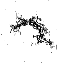 CNCCCC(NC(=O)COc1cc2oc3cc(OCC(=O)NC(CCCN)C(=O)NCCNCCNC(C)C)c(OC)c(CC=C(C)C)c3c(=O)c2c(O)c1CC=C(C)C)C(=O)NCCNCCNC(C)C